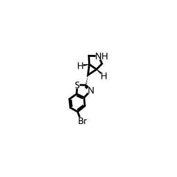 Brc1ccc2sc([C@@H]3[C@@H]4CNC[C@@H]43)nc2c1